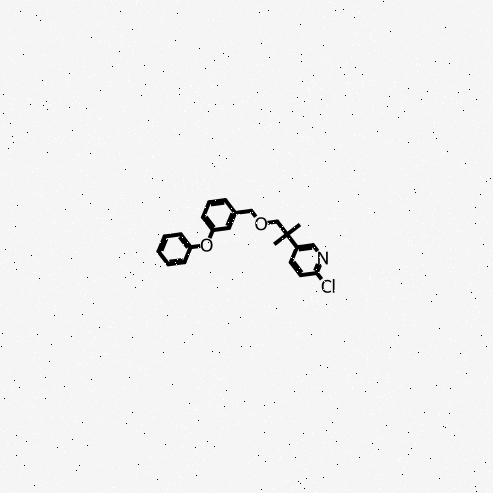 CC(C)(COCc1cccc(Oc2ccccc2)c1)c1ccc(Cl)nc1